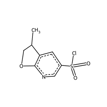 CC1COc2ncc(S(=O)(=O)Cl)cc21